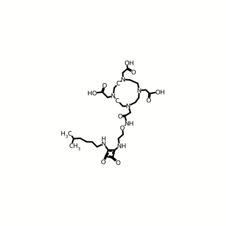 CC(C)CCCCNc1c(NCCONC(=O)CN2CCN(CC(=O)O)CCN(CC(=O)O)CCN(CC(=O)O)CC2)c(=O)c1=O